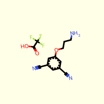 N#Cc1cc(C#N)cc(OCCCN)c1.O=C(O)C(F)(F)F